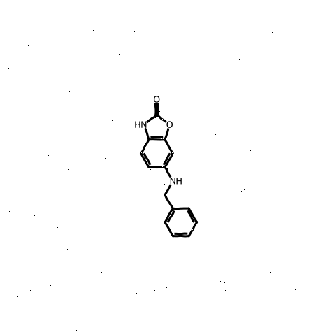 O=c1[nH]c2ccc(NCc3ccccc3)cc2o1